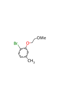 COCCOc1cc(C)ccc1Br